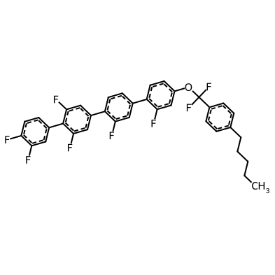 CCCCCc1ccc(C(F)(F)Oc2ccc(-c3ccc(-c4cc(F)c(-c5ccc(F)c(F)c5)c(F)c4)c(F)c3)c(F)c2)cc1